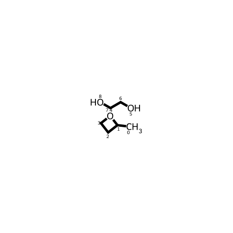 CC1CCO1.OCCO